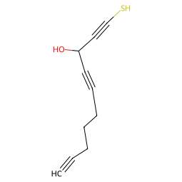 C#CCCCC#CC(O)C#CS